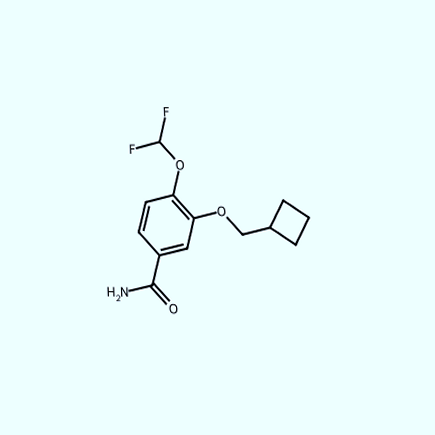 NC(=O)c1ccc(OC(F)F)c(OCC2CCC2)c1